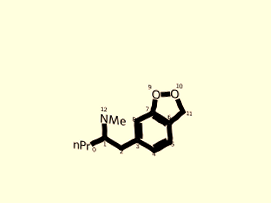 CCCC(Cc1ccc2c(c1)OOC2)NC